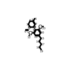 C=C[C@@H]1CCC(C)=C[C@H]1c1c(OC)cc(CCCCC)cc1OC